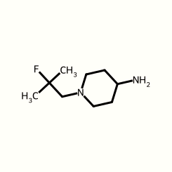 CC(C)(F)CN1CCC(N)CC1